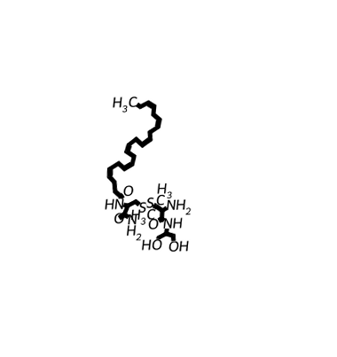 CC/C=C\C/C=C\C/C=C\C/C=C\C/C=C\C/C=C\CCC(=O)NC(CSSC(C)(C)C(N)C(=O)NC(CO)CO)C(N)=O